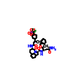 C/C(=C\C(=O)N[C@H]1CCc2cccc3c2N(C1=O)[C@H](C(=O)N[C@@H](CCC(N)=O)[C@@H](C)OCc1ccccc1)C3)c1ccc(C(F)(F)P(=O)(O)O)cc1